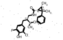 C[C@H]1[C@@H](C(=O)NC[C@H](Cc2cc(F)c(O)c(Cl)c2)N(C)C)[C@@]1(C)c1ccccc1